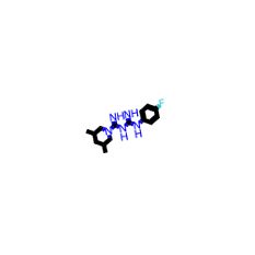 CC1CC(C)CN(C(=N)NC(=N)Nc2ccc(F)cc2)C1